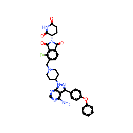 Nc1ncnc2c1c(-c1ccc(Oc3ccccc3)cc1)nn2C1CCN(Cc2ccc3c(c2F)C(=O)N([C@H]2CCC(=O)NC2=O)C3=O)CC1